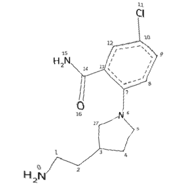 NCCC1CCN(c2ccc(Cl)cc2C(N)=O)C1